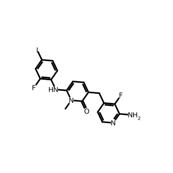 Cn1c(Nc2ccc(I)cc2F)ccc(Cc2ccnc(N)c2F)c1=O